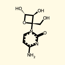 Nc1ccn([C@]2(CO)O[C@H](O)[C@H]2O)c(=O)n1